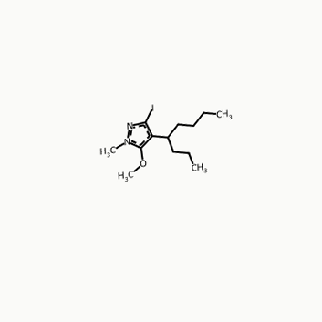 CCCCC(CCC)c1c(I)nn(C)c1OC